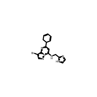 Brc1cnn2c(NCc3ncc[nH]3)cc(C3C=CC=CC3)nc12